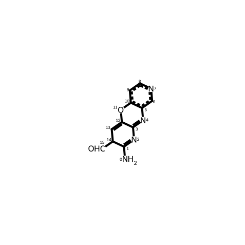 NC1=NC2=Nc3cnccc3OC2=CC1C=O